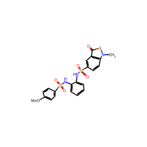 COc1ccc(S(=O)(=O)Nc2ccccc2NS(=O)(=O)c2ccc3c(c2)c(=O)sn3C)cc1